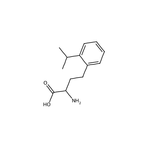 CC(C)c1ccccc1CCC(N)C(=O)O